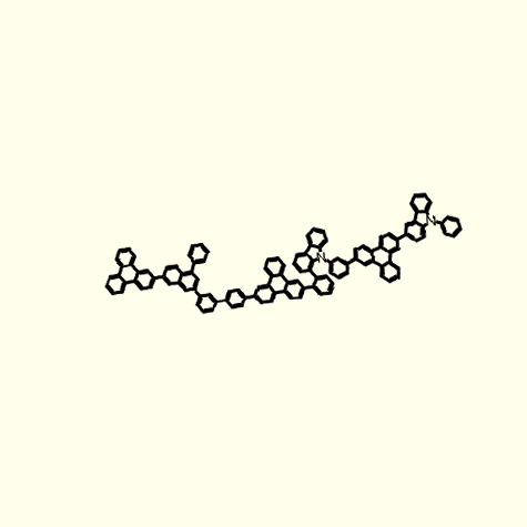 c1ccc(-c2cc(-c3cccc(-c4ccc(-c5ccc6c7ccc(-c8ccccc8-c8cccc9c%10ccccc%10n(-c%10cccc(-c%11ccc%12c%13ccc(-c%14ccc%15c(c%14)c%14ccccc%14n%15-c%14ccccc%14)cc%13c%13ccccc%13c%12c%11)c%10)c89)cc7c7ccccc7c6c5)cc4)c3)cc3cc(-c4ccc5c6ccccc6c6ccccc6c5c4)ccc23)cc1